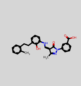 CC1=NN(c2cccc(C(=O)O)c2)C(=O)/C1=C\Nc1cccc(CCc2ccccc2C)c1O